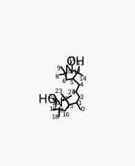 CC(CCCC1CC(C)(C)N(O)C1(C)C)C1CC(C)(C)N(O)C1(C)C